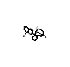 COc1cccc2ccc(CN3C[C@@H]4CC[C@H]3Cc3ccccc3C4)nc12